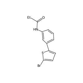 CCC(=O)Nc1cccc(-c2ccc(Br)s2)c1